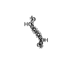 C=CC(=O)CCC(O)COc1ccc(C(C)(C)c2ccc(OCC(O)COC(=O)C=C)cc2)cc1